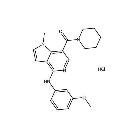 COc1cccc(Nc2ncc(C(=O)N3CCCCC3)c3c2ccn3C)c1.Cl